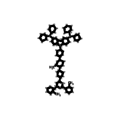 Cc1cc(-c2ccc(-n3c4ccc(N(c5ccccc5)c5ccccc5)cc4c4cc(N(c5ccccc5)c5ccccc5)ccc43)cc2)ccc1-c1ccc(-c2cc(-c3ccccc3C)nc(-c3ccccc3C)n2)cc1